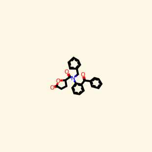 O=C1CCC(C(=O)N(Cc2ccccc2)c2ccccc2C(=O)c2ccccc2)O1